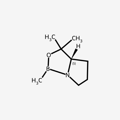 CB1OC(C)(C)[C@@H]2CCCN12